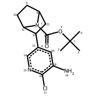 CC(C)(C)OC(=O)N1C2CCC1C(c1cnc(Cl)c(N)c1)C2